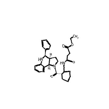 CCOC(=O)CCC(=O)NC1CCCC[C@@H]1C(=O)N1CC[C@@H]2[C@H](c3ccccc3)Nc3ccccc3[C@@H]21